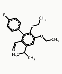 CCOc1cc(C(C)C)c(C=O)c(-c2ccc(F)cc2)c1OCC